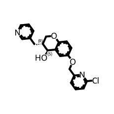 O[C@@H]1c2cc(OCc3cccc(Cl)n3)ccc2OC[C@H]1Cc1cccnc1